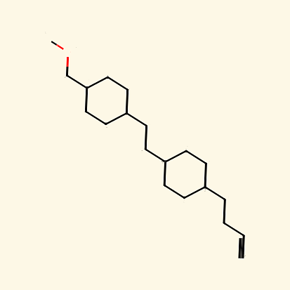 C=CCCC1CCC(CCC2CCC(COCC)CC2)CC1